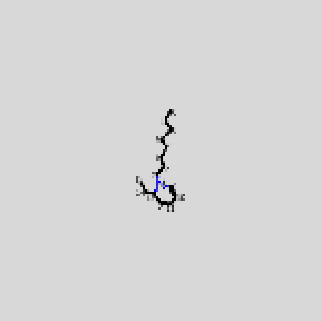 CCCCCCCCN1C=CC=CC1CC